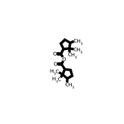 CC1CCC(C(=O)OC(=O)C2CCC(C)C2(C)C)C1(C)C